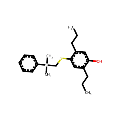 CCCc1cc(SC[Si](C)(C)c2ccccc2)c(CCC)cc1O